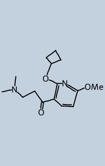 COc1ccc(C(=O)CCN(C)C)c(OC2CCC2)n1